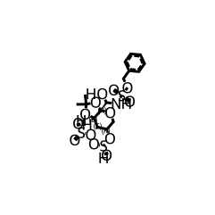 CC1(C)O[C@H]2[C@H](O[SH](=O)=O)[C@H](O[SH](=O)=O)CO[C@@]2(C(O)NS(=O)(=O)OCc2ccccc2)O1